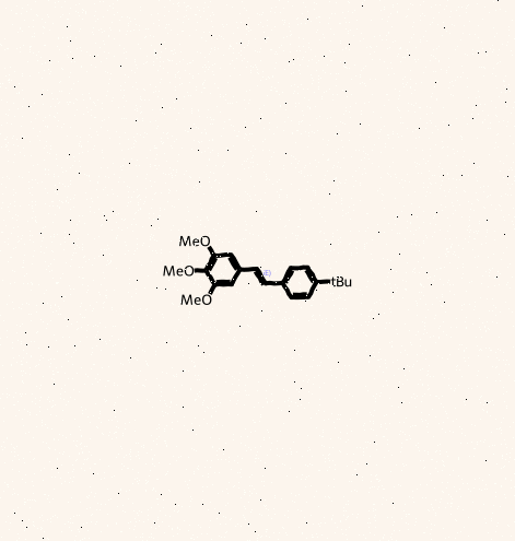 COc1cc(/C=C/c2ccc(C(C)(C)C)cc2)cc(OC)c1OC